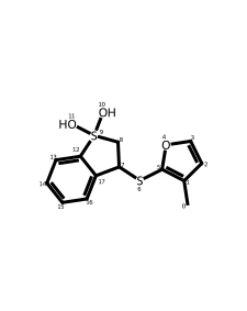 Cc1ccoc1SC1CS(O)(O)c2ccccc21